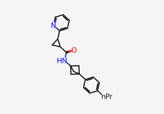 CCCc1ccc(C23CC(NC(=O)C4CC4c4ccccn4)(C2)C3)cc1